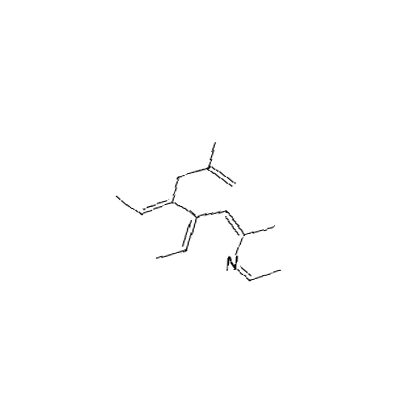 C=C(C)CC(=C\C)/C(/C=C(C)\N=C/C)=C\C